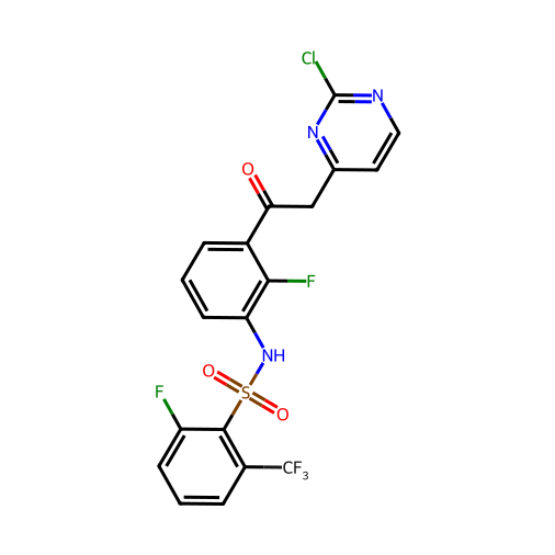 O=C(Cc1ccnc(Cl)n1)c1cccc(NS(=O)(=O)c2c(F)cccc2C(F)(F)F)c1F